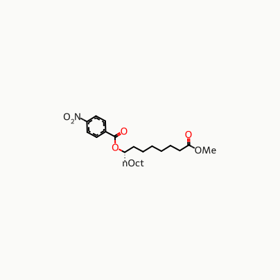 CCCCCCCC[C@@H](CCCCCCC(=O)OC)OC(=O)c1ccc([N+](=O)[O-])cc1